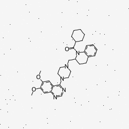 COc1cc2ncnc(N3CCN(CC4CCc5ccccc5N4C(=O)C4CCCCC4)CC3)c2cc1OC